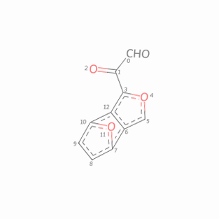 O=CC(=O)c1occ2c3ccc(o3)c12